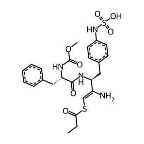 CCC(=O)S/C=C(\N)[C@H](Cc1ccc(NS(=O)(=O)O)cc1)NC(=O)[C@H](Cc1ccccc1)NC(=O)OC